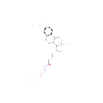 COCCNC(=O)CCC[C@H]1CO[C@@]2(C)CCC3c4ccc(B(O)O)cc4CCC3C12